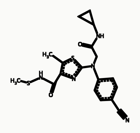 CSNC(=O)c1nc(N(CC(=O)NC2CC2)c2ccc(C#N)cc2)sc1C